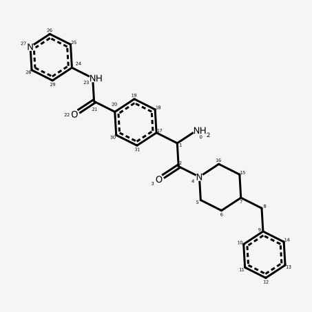 NC(C(=O)N1CCC(Cc2ccccc2)CC1)c1ccc(C(=O)Nc2ccncc2)cc1